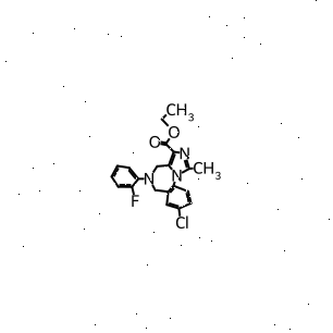 CCOC(=O)c1nc(C)n2c1CN(c1ccccc1F)Cc1cc(Cl)ccc1-2